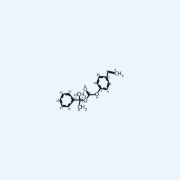 C=Cc1ccc(OC(=O)OC(C)(C)c2ccccc2)cc1